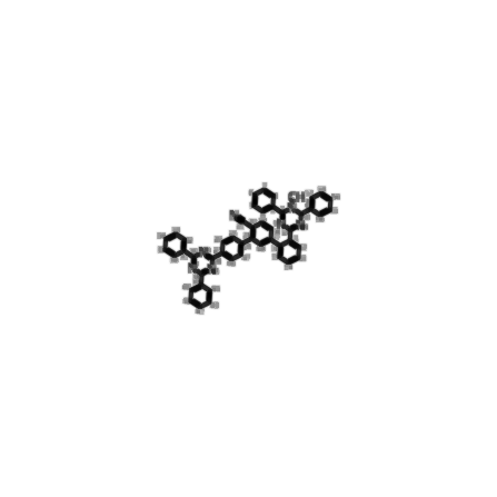 CN1C(c2ccccc2)=NC(c2ccccc2-c2ccc(C#N)c(-c3ccc(-c4nc(-c5ccccc5)nc(-c5ccccc5)n4)cc3)c2)=NC1c1ccccc1